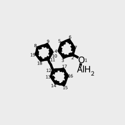 [AlH2][O]c1ccccc1.c1ccc(-c2ccccc2)cc1